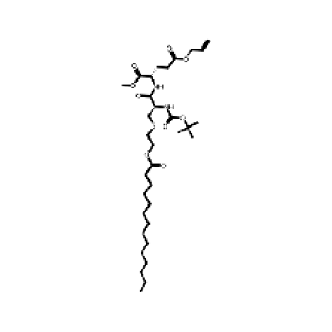 C=CCOC(=O)CC[C@H](NC(=O)[C@H](CSCCOC(=O)CCCCCCCCCCCCC)NC(=O)OC(C)(C)C)C(=O)OC